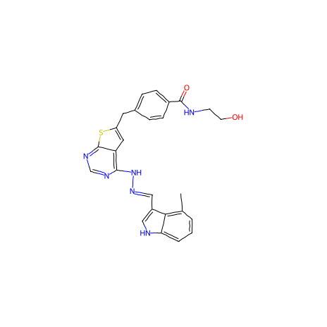 Cc1cccc2[nH]cc(C=NNc3ncnc4sc(Cc5ccc(C(=O)NCCO)cc5)cc34)c12